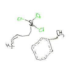 C=CC[Si](Cl)(Cl)Cl.Cc1ccccc1